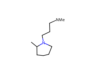 CNCCCN1CCCCC1C